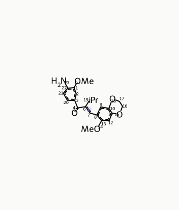 COc1cc(C(=O)/C(=C/c2cc3c(cc2OC)OCCO3)C(C)C)ccc1N